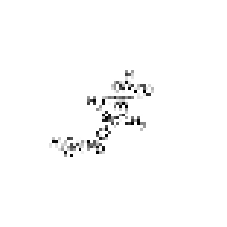 CCc1nn(CC(C)COC(=O)c2ccc(C(=O)N3CCN(C(C)=O)CC3)cc2)c2c1C(=O)NCC1(CCOCC1)C2